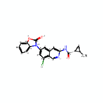 N#CC1C[C@H]1C(=O)Nc1cc2cc(-n3c(=O)oc4ccccc43)cc(Cl)c2cn1